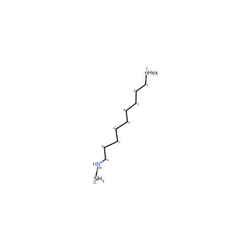 CCCCCCCCCCCCCCCN[SiH3]